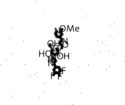 COc1cc(C2=NOC(C[C@H]3O[C@H](CO)[C@H](O)[C@H](n4cc(-c5cc(F)c(F)c(F)c5)nn4)[C@H]3O)C2)ccn1